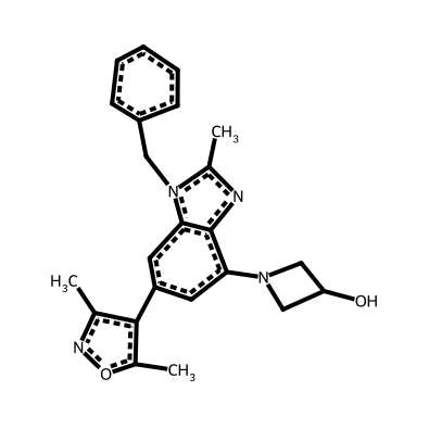 Cc1noc(C)c1-c1cc(N2CC(O)C2)c2nc(C)n(Cc3ccccc3)c2c1